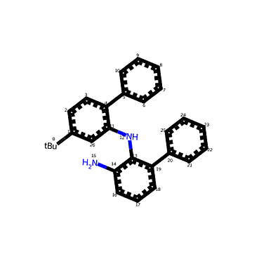 CC(C)(C)c1ccc(-c2ccccc2)c(Nc2c(N)cccc2-c2ccccc2)c1